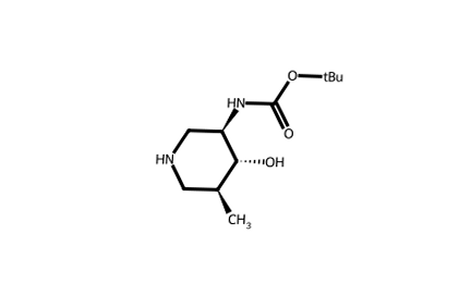 C[C@H]1CNC[C@@H](NC(=O)OC(C)(C)C)[C@@H]1O